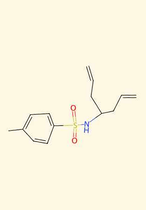 C=CCC(CC=C)NS(=O)(=O)c1ccc(C)cc1